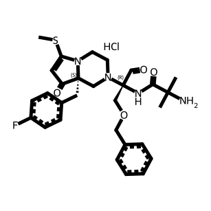 CSC1=CC(=O)[C@]2(Cc3ccc(F)cc3)CN([C@@](C=O)(COCc3ccccc3)NC(=O)C(C)(C)N)CCN12.Cl